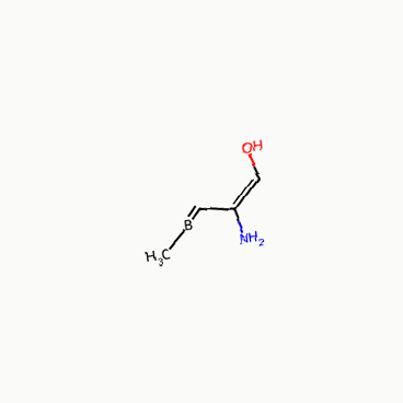 C/B=C\C(N)=C/O